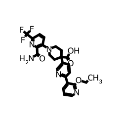 CCOc1ncccc1-c1ccc(C2(C(=O)O)CCN(c3ccc(C(F)(F)F)nc3C(N)=O)CC2)cn1